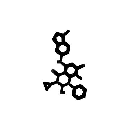 Cn1c2c(c(Nc3ccc4c(ccn4C)c3)cc1=O)C(=O)N(C1CC1)C(O)N2c1ccccc1